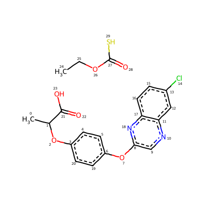 CC(Oc1ccc(Oc2cnc3cc(Cl)ccc3n2)cc1)C(=O)O.CCOC(=O)S